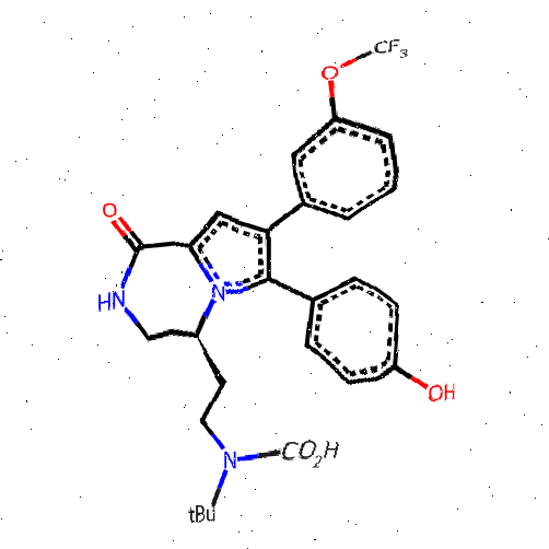 CC(C)(C)N(CC[C@H]1CNC(=O)c2cc(-c3cccc(OC(F)(F)F)c3)c(-c3ccc(O)cc3)n21)C(=O)O